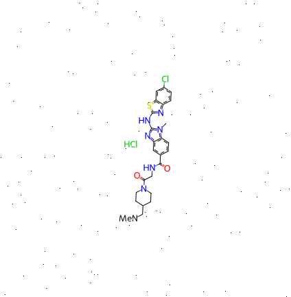 CNCC1CCN(C(=O)CNC(=O)c2ccc3c(c2)nc(Nc2nc4ccc(Cl)cc4s2)n3C)CC1.Cl